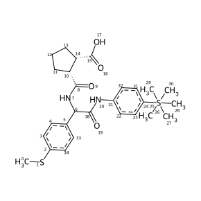 CSc1ccc(C(NC(=O)[C@@H]2CCC[C@@H]2C(=O)O)C(=O)Nc2ccc(S(C)(C)(C)(C)C)cc2)cc1